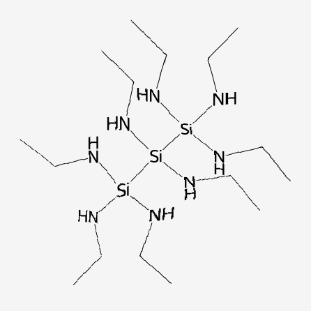 CCN[Si](NCC)(NCC)[Si](NCC)(NCC)[Si](NCC)(NCC)NCC